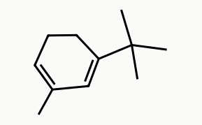 CC1=CCCC(C(C)(C)C)=C1